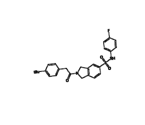 CC(C)(C)c1ccc(CC(=O)N2Cc3ccc(S(=O)(=O)Nc4ccc(F)cc4)cc3C2)cc1